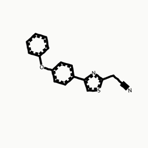 N#CCc1nc(-c2ccc(Oc3ccccc3)cc2)cs1